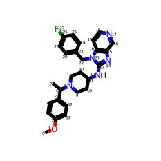 COc1ccc(C(C)N2CCC(Nc3nc4cnccc4n3Cc3ccc(F)cc3)CC2)cc1